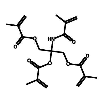 C=C(C)C(=O)NC(COC(=O)C(=C)C)(COC(=O)C(=C)C)OC(=O)C(=C)C